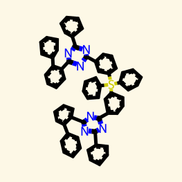 c1ccc(-c2nc(-c3cccc(S(c4ccccc4)(c4ccccc4)c4cccc(-c5nc(-c6ccccc6)nc(-c6ccccc6-c6ccccc6)n5)c4)c3)nc(-c3ccccc3-c3ccccc3)n2)cc1